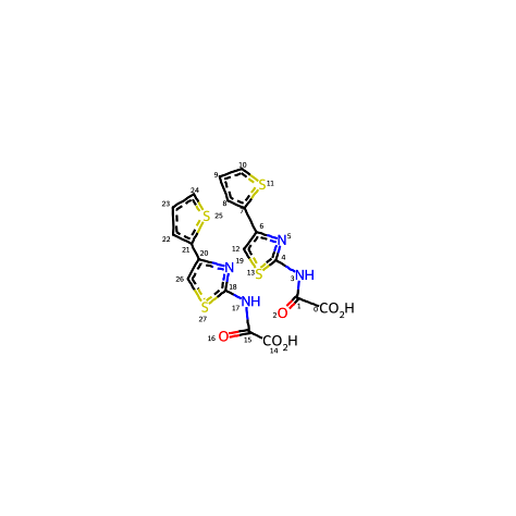 O=C(O)C(=O)Nc1nc(-c2cccs2)cs1.O=C(O)C(=O)Nc1nc(-c2cccs2)cs1